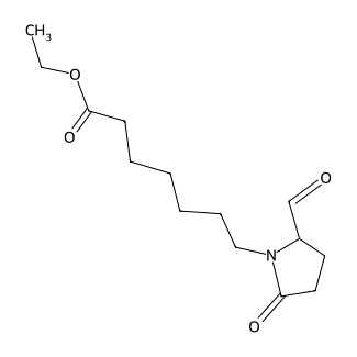 CCOC(=O)CCCCCCN1C(=O)CCC1C=O